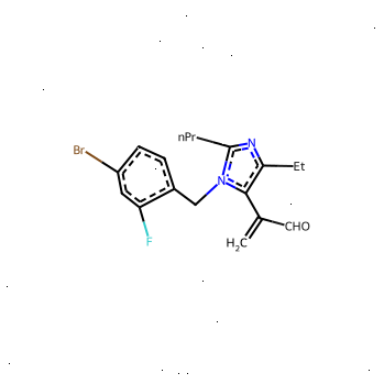 C=C(C=O)c1c(CC)nc(CCC)n1Cc1ccc(Br)cc1F